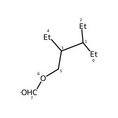 CCC(CC)C(CC)CO[C]=O